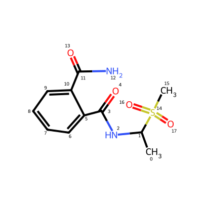 CC(NC(=O)c1ccccc1C(N)=O)S(C)(=O)=O